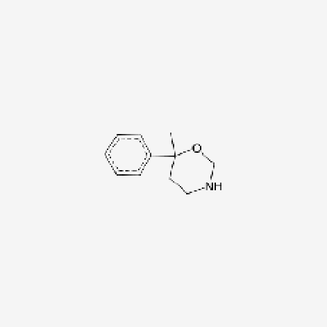 CC1(c2ccccc2)CCNCO1